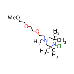 COCCOCCOCC[N+]1(C)CC(C)(C)N(Cl)C(C)(C)C1